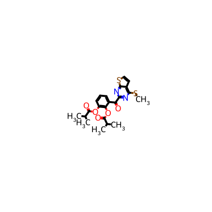 CSc1nc(C(=O)c2cccc(OC(=O)C(C)C)c2OC(=O)C(C)C)nc2sccc12